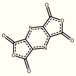 O=c1oc(=O)c2nc3c(=O)oc(=O)c3nc12